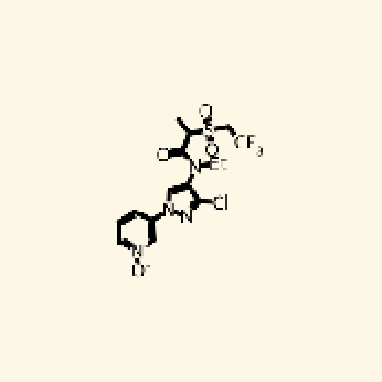 CCN(C(=O)C(C)S(=O)(=O)CC(F)(F)F)c1cn(-c2ccc[n+]([O-])c2)nc1Cl